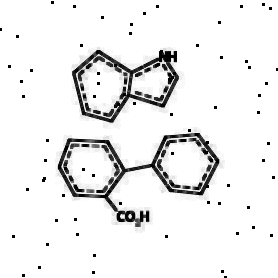 O=C(O)c1ccccc1-c1ccccc1.c1ccc2[nH]ccc2c1